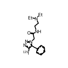 CCN(CC)CCNC(=O)Cn1nnc([125I])c1-c1ccccc1